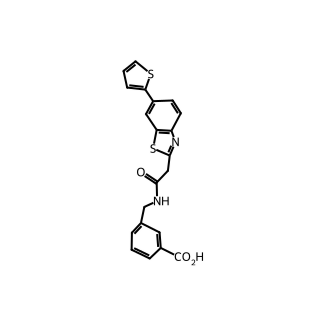 O=C(Cc1nc2ccc(-c3cccs3)cc2s1)NCc1cccc(C(=O)O)c1